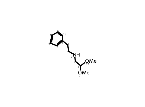 COC(CNCCc1ccccc1)OC